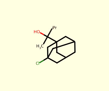 CC(C)C(C)(O)C12CC3CC(CC(Cl)(C3)C1)C2